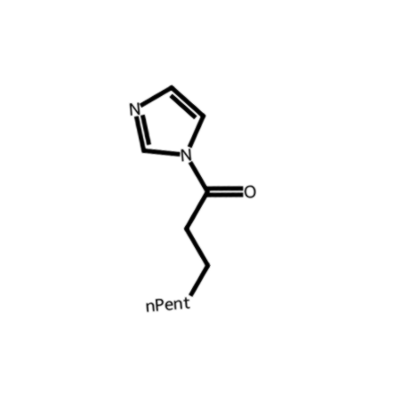 CCCCCCCC(=O)n1ccnc1